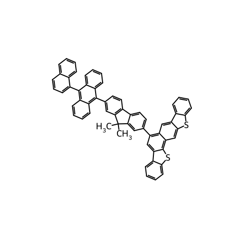 CC1(C)c2cc(-c3c4ccccc4c(-c4cccc5ccccc45)c4ccccc34)ccc2-c2ccc(-c3cc4c5ccccc5sc4c4cc5sc6ccccc6c5cc34)cc21